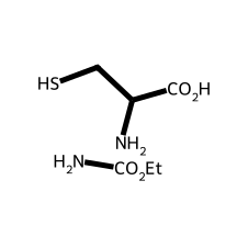 CCOC(N)=O.NC(CS)C(=O)O